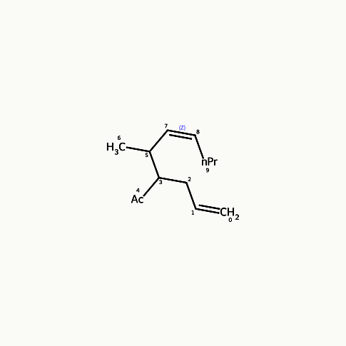 C=CCC(C(C)=O)C(C)/C=C\CCC